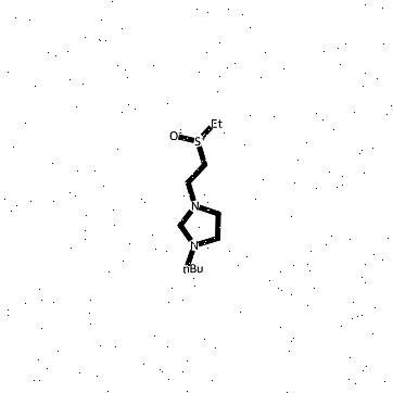 CCCCN1CCN(CC[S+]([O-])CC)C1